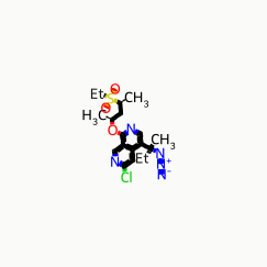 CCC(C)(N=[N+]=[N-])c1cnc(O[C@H](C)C[C@@H](C)S(=O)(=O)CC)c2cnc(Cl)cc12